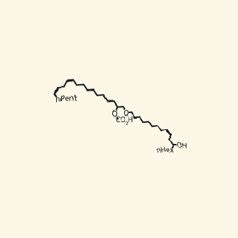 CCCCC/C=C\C/C=C\CCCCCCCCC(COCCCCCCCC/C=C\CC(O)CCCCCC)OC(=O)O